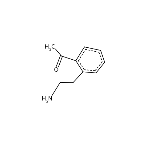 CC(=O)c1ccccc1CCN